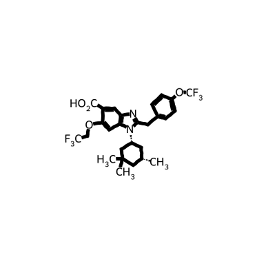 C[C@H]1C[C@@H](n2c(Cc3ccc(OC(F)(F)F)cc3)nc3cc(C(=O)O)c(OCC(F)(F)F)cc32)CC(C)(C)C1